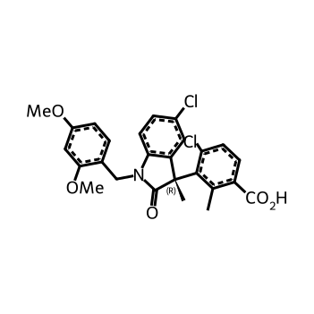 COc1ccc(CN2C(=O)[C@@](C)(c3c(Cl)ccc(C(=O)O)c3C)c3cc(Cl)ccc32)c(OC)c1